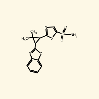 CC1(C)C(c2nc3ccccc3o2)C1c1ncc(S(N)(=O)=O)s1